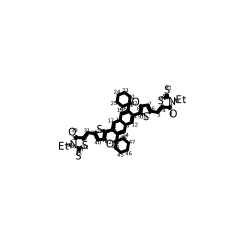 CCN1C(=O)/C(=C/c2cc3c(s2)C2=CC4C=C5C(=CC4C=C2C2(CCCCC2)O3)c2sc(/C=C3\SC(=S)N(CC)C3=O)cc2OC52CCCCC2)SC1=S